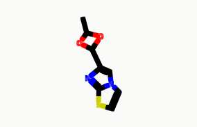 CC1OC(c2cn3ccsc3n2)O1